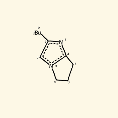 CCC(C)c1cn2c(n1)CCC2